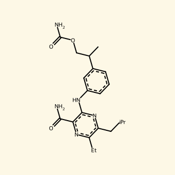 CCc1nc(C(N)=O)c(Nc2cccc(C(C)COC(N)=O)c2)nc1CC(C)C